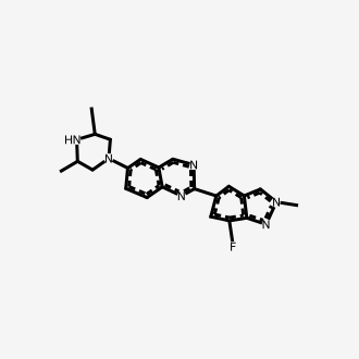 CC1CN(c2ccc3nc(-c4cc(F)c5nn(C)cc5c4)ncc3c2)CC(C)N1